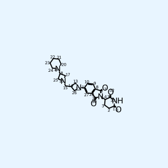 O=C1CCC(N2C(=O)c3ccc(N4CC(CN5CC(N6CCCCC6)C5)C4)cc3C2=O)C(=O)N1